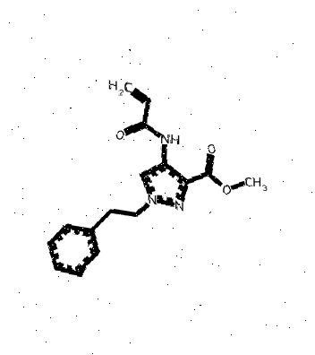 C=CC(=O)Nc1cn(CCc2ccccc2)nc1C(=O)OC